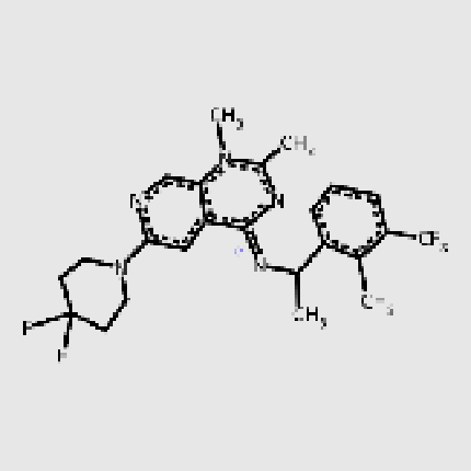 Cc1c(C(C)/N=c2\nc(C)n(C)c3cnc(N4CCC(F)(F)CC4)cc23)cccc1C(F)(F)F